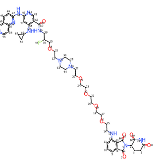 O=C1CCC(N2C(=O)c3cccc(NCCOCCOCCOCCOCCN4CCN(CCOCC(F)CNC(=O)c5cnc(Nc6ccc7cnccc7n6)cc5NC5CC5)CC4)c3C2=O)C(=O)N1